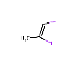 [CH2]/C(I)=C/I